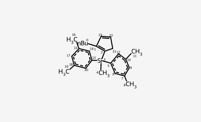 CCCCC1=C([Si](C)(c2cc(C)cc(C)c2)c2cc(C)cc(C)c2)CC=C1